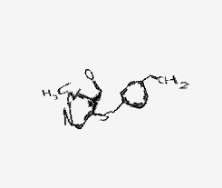 C=Cc1ccc(Sc2cnn(C)c2C=O)cc1